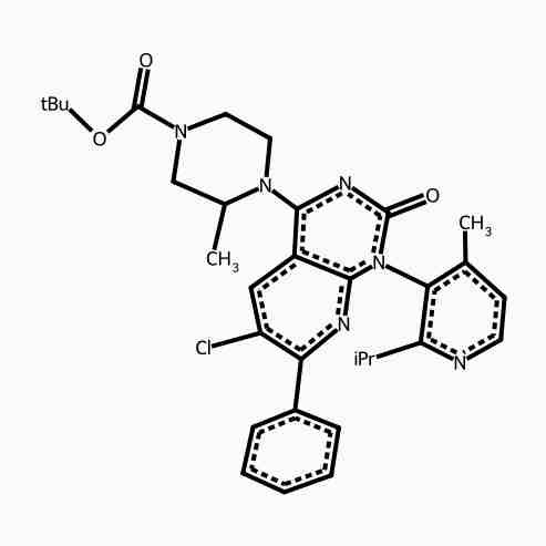 Cc1ccnc(C(C)C)c1-n1c(=O)nc(N2CCN(C(=O)OC(C)(C)C)CC2C)c2cc(Cl)c(-c3ccccc3)nc21